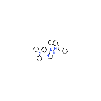 c1ccc(-n2c3ccccc3c3ccc(-c4nc(-n5c6cc7ccccc7cc6c6ccc7ccccc7c65)nc5cccnc45)cc32)cc1